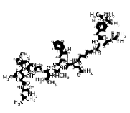 CC(C)C[C@H](NC(=O)C[C@H](O)[C@H](CC(C)C)NC(=O)[C@H](Cc1cncn1C)NC(=O)CNC(=O)[C@@H](NC(=O)[C@H](C)NC(=O)[C@H](Cc1c[nH]c2ccccc12)NC(=O)[C@H](CCC(N)=O)NC(=O)CCCCNC(=O)[C@H](CCCNC(=N)N)NC(=O)Cc1ccc([Si]([18F])(C(C)(C)C)C(C)(C)C)cc1)C(C)C)C(N)=O